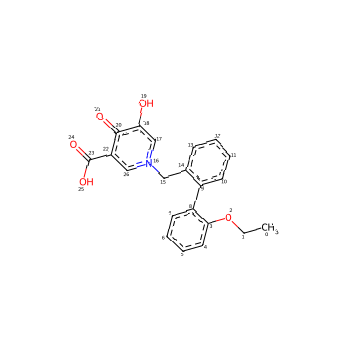 CCOc1ccccc1-c1ccccc1Cn1cc(O)c(=O)c(C(=O)O)c1